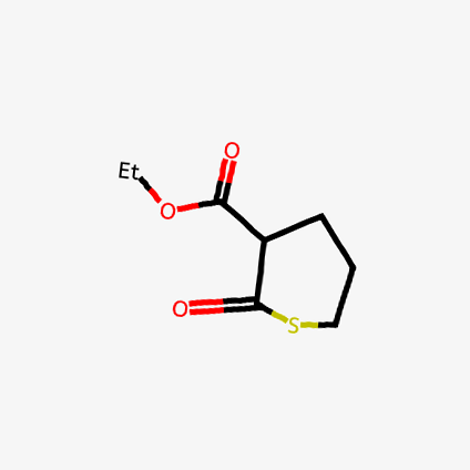 CCOC(=O)C1CCCSC1=O